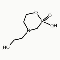 O=P1(O)CN(CCO)CCO1